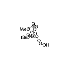 COCCCN1C(=O)COc2ccc(N(C(=O)[C@H]3CN(C(=O)OC(C)(C)C)CC[C@@H]3c3cccc(-c4ccc(OCCO)cc4)c3)C3CC3)cc21